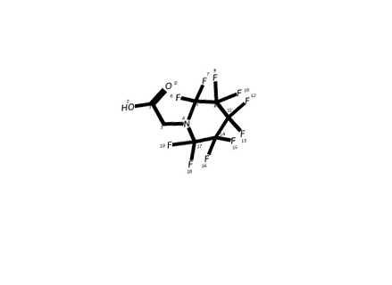 O=C(O)CN1C(F)(F)C(F)(F)C(F)(F)C(F)(F)C1(F)F